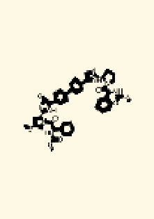 COC(=O)NC(C(=O)N1C[C@@H](SC)C[C@H]1c1nc(Cl)c(-c2ccc(-c3ccc(-c4cnc([C@@H]5CCCN5C(=O)[C@@H](NC(=O)OC)c5ccccc5)[nH]4)cc3)cc2)[nH]1)c1ccccc1